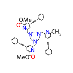 COC(=O)c1cc(C#Cc2ccccc2)cc(CN2CCN(Cc3cc(C#Cc4ccccc4)cc(C)n3)CCN(Cc3cc(C#Cc4ccccc4)cc(C(=O)OC)n3)CC2)n1